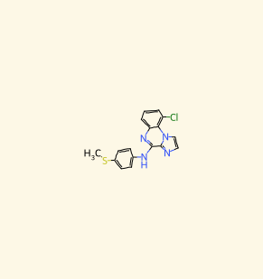 CSc1ccc(Nc2nc3cccc(Cl)c3n3ccnc23)cc1